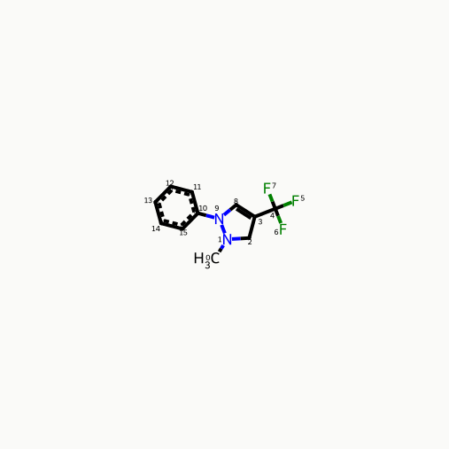 CN1CC(C(F)(F)F)=CN1c1ccccc1